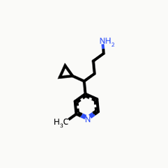 Cc1cc(C(CCCN)C2CC2)ccn1